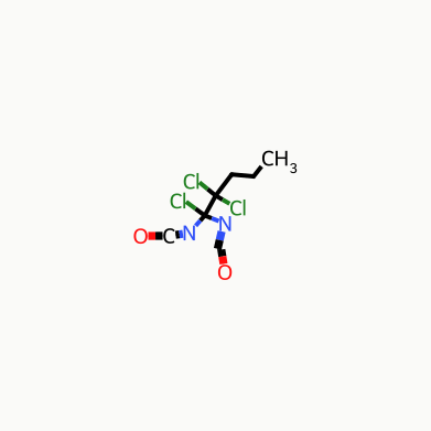 CCCC(Cl)(Cl)C(Cl)(N=C=O)N=C=O